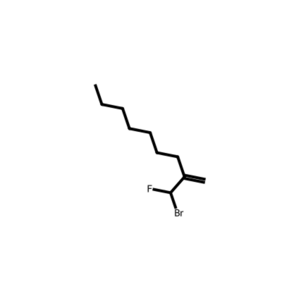 C=C(CCCCCCC)C(F)Br